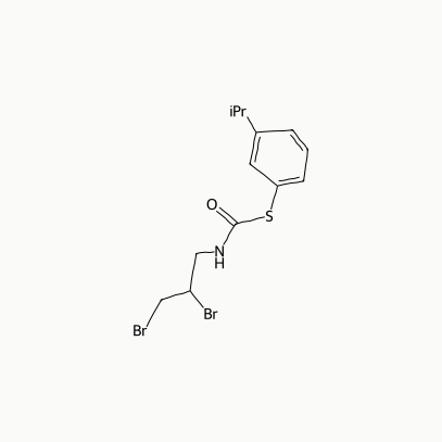 CC(C)c1cccc(SC(=O)NCC(Br)CBr)c1